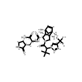 CC(C)(C)C(C(=O)N1C[C@H]2[C@@H]([C@H]1C(=O)N[C@@H](C[C@@H]1CCNC1=O)C(N)=O)[C@H]1C=C[C@@H]2C1)n1cc(C(F)(F)F)nn1